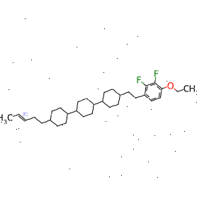 C/C=C/CCC1CCC(C2CCC(C3CCC(CCc4ccc(OCC)c(F)c4F)CC3)CC2)CC1